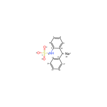 O=S(=O)([O-])Nc1ccccc1Cc1ccccc1.[Na+]